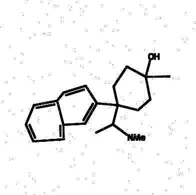 CNC(C)C1(c2ccc3ccccc3c2)CCC(C)(O)CC1